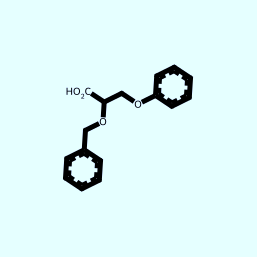 O=C(O)C(COc1ccccc1)OCc1ccccc1